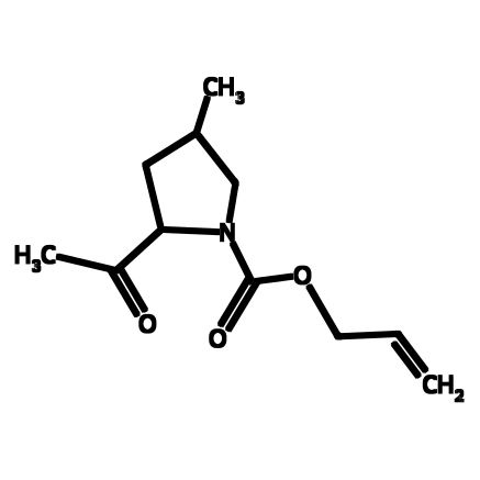 C=CCOC(=O)N1CC(C)CC1C(C)=O